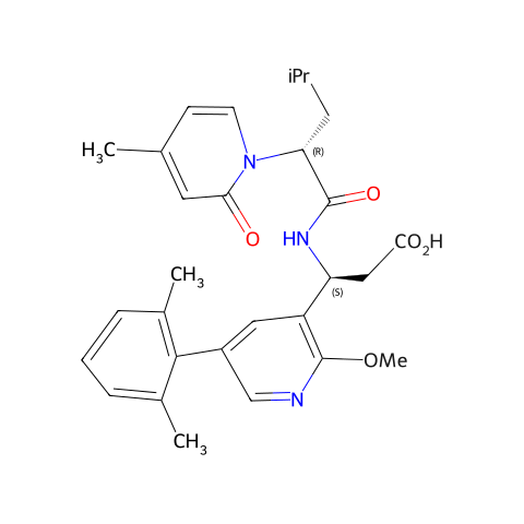 COc1ncc(-c2c(C)cccc2C)cc1[C@H](CC(=O)O)NC(=O)[C@@H](CC(C)C)n1ccc(C)cc1=O